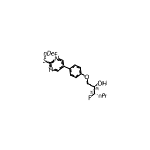 CCCCCCCCCCSc1ncc(-c2ccc(OC[C@@H](O)[C@@H](F)CCC)cc2)cn1